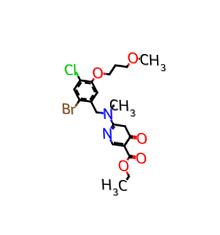 CCOC(=O)C1=CN=C(N(C)Cc2cc(OCCCOC)c(Cl)cc2Br)CC1=O